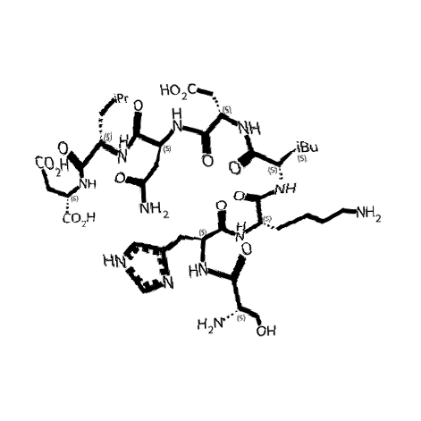 CC[C@H](C)[C@H](NC(=O)[C@H](CCCCN)NC(=O)[C@H](Cc1c[nH]cn1)NC(=O)[C@@H](N)CO)C(=O)N[C@@H](CC(=O)O)C(=O)N[C@@H](CC(N)=O)C(=O)N[C@@H](CC(C)C)C(=O)N[C@@H](CC(=O)O)C(=O)O